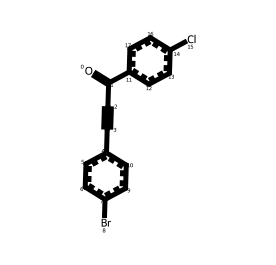 O=C(C#Cc1ccc(Br)cc1)c1ccc(Cl)cc1